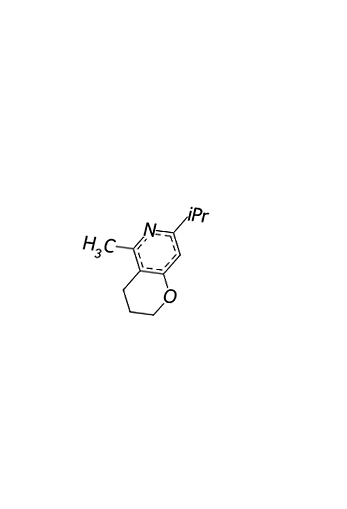 Cc1nc(C(C)C)cc2c1CCCO2